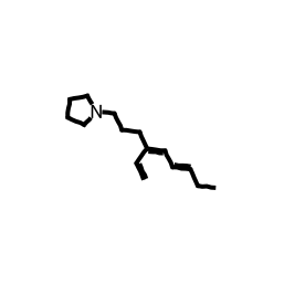 C=C/C(=C\C=C\CC)CCCN1CCCC1